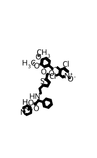 COc1ccc([C@H](Cc2c(Cl)c[n+]([O-])cc2Cl)OC(=O)c2ccc(CCNC(C(=O)O[C@H]3CN4CCC3CC4)c3ccccc3)s2)cc1OC